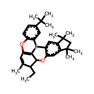 CCC1C(C)=CC2=C3B(c4cc(C(C)(C)C)ccc4O2)c2cc4c(cc2OC31)C(C)(C)CC4(C)C